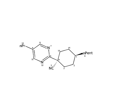 CCCCC[C@H]1CC[C@@](C#N)(c2ncc(CCC)cn2)CC1